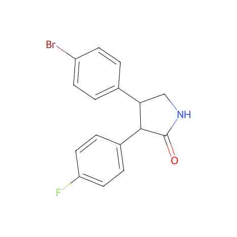 O=C1NCC(c2ccc(Br)cc2)C1c1ccc(F)cc1